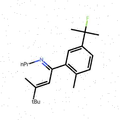 CCC/N=C(\C=C(/C)C(C)(C)C)c1cc(C(C)(C)F)ccc1C